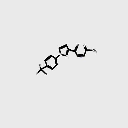 CC(=O)/C=C\C(=O)c1ccn(-c2ccc(C(F)(F)F)cc2)n1